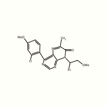 CCC(COC)n1c(=O)c(C)nc2c(-c3ccc(OC)cc3Cl)ncnc21